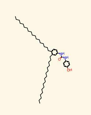 CCCCCCCCCCCCCCCCCCc1ccc(NC(=O)Nc2ccc(O)cc2)cc1CCCCCCCCCCCCCCCCCC